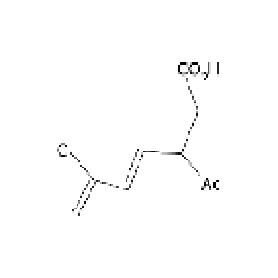 C=C(Cl)C=CC(CC(=O)O)C(C)=O